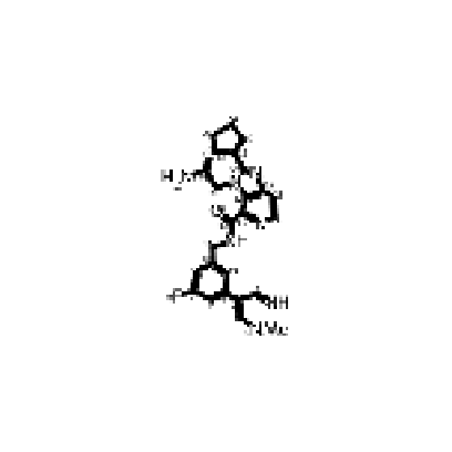 CN/C=C(\C=N)c1cc(F)cc(CNC(=O)c2nccc3nc(C4CCCC4)n(CC(N)=O)c23)c1